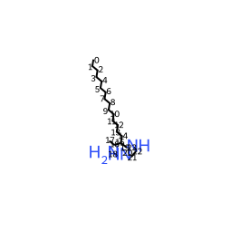 CCCCCCCCCCCCCCCC(C(C)N)C1NCCN1